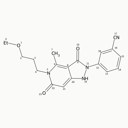 CCOCCCn1c(C)c2c(=O)n(-c3cccc(C#N)c3)[nH]c2cc1=O